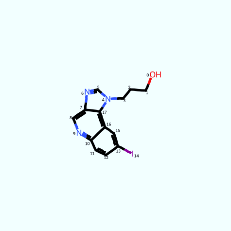 OCCCn1cnc2cnc3ccc(I)cc3c21